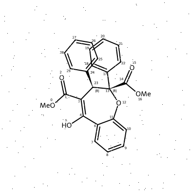 COC(=O)C1=C(O)c2ccccc2O[C@@](C(=O)OC)(c2ccccc2)[C@@H]1c1ccccc1